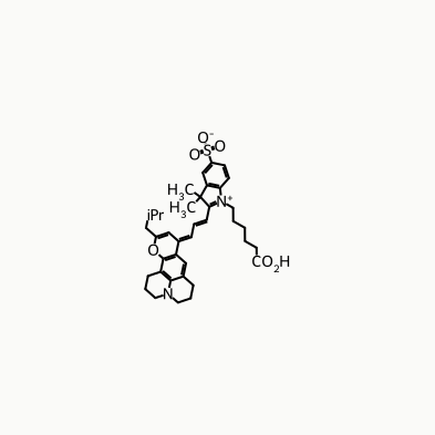 CC(C)CC1=C/C(=C\C=C\C2=[N+](CCCCCC(=O)O)c3ccc(S(=O)(=O)[O-])cc3C2(C)C)c2cc3c4c(c2O1)CCCN4CCC3